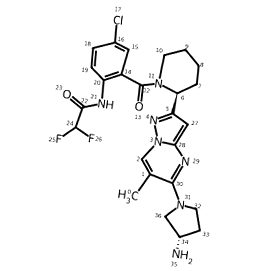 Cc1cn2nc([C@@H]3CCCCN3C(=O)c3cc(Cl)ccc3NC(=O)C(F)F)cc2nc1N1CC[C@H](N)C1